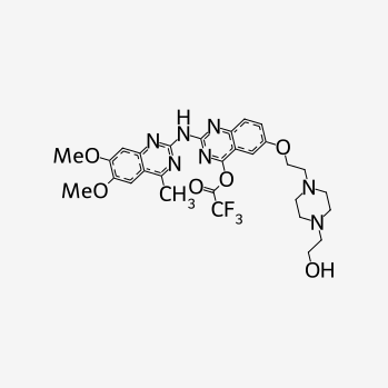 COc1cc2nc(Nc3nc(OC(=O)C(F)(F)F)c4cc(OCCN5CCN(CCO)CC5)ccc4n3)nc(C)c2cc1OC